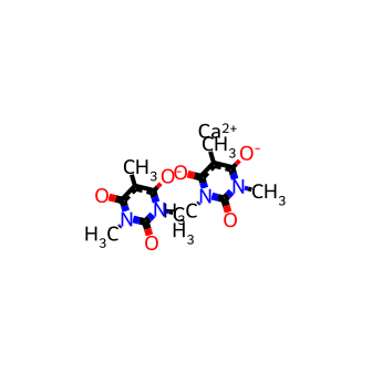 Cc1c([O-])n(C)c(=O)n(C)c1=O.Cc1c([O-])n(C)c(=O)n(C)c1=O.[Ca+2]